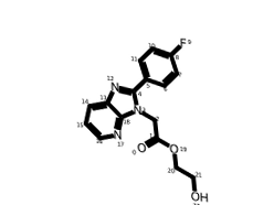 O=C(Cn1c(-c2ccc(F)cc2)nc2cccnc21)OCCO